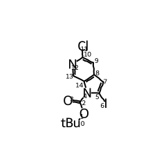 CC(C)(C)OC(=O)n1c(I)cc2cc(Cl)ncc21